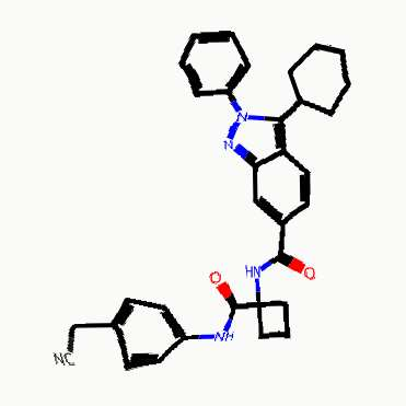 N#CCc1ccc(NC(=O)C2(NC(=O)c3ccc4c(C5CCCCC5)n(-c5ccccc5)nc4c3)CCC2)cc1